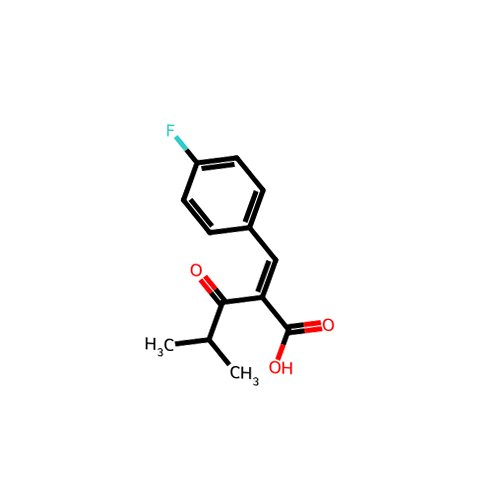 CC(C)C(=O)/C(=C\c1ccc(F)cc1)C(=O)O